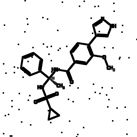 COc1cc(C(=O)N[C@@](C)(NS(=O)(=O)C2CC2)c2ccccc2)ccc1-c1cn[nH]c1